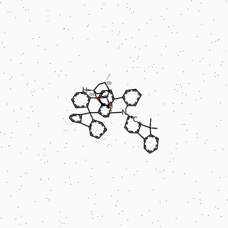 C[C@@H]1C[C@H]2CCC[C@@H](C1)C21c2ccccc2C2(c3ccccc3-c3ccccc32)c2ccc(N(c3ccc4c(c3)C(C)(C)c3ccccc3-4)c3ccccc3-c3ccccc3)cc21